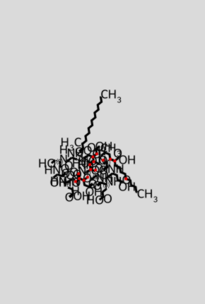 CCCCCCCCCCCCCC(C)C(=O)OCC(CSCC(N)C(=O)N[C@@H](CO)C(=O)NC(CO)C(=O)N[C@@H](CCC(=O)O)C(=O)NC(CCC(=O)O)C(=O)N[C@@H](CCC(=O)O)C(=O)NC(CCC(=O)O)C(=O)N[C@@H](CCC(=O)O)C(=O)NC(CCC(=O)O)C(=O)N[C@@H](CCC(=O)O)C(=O)N[C@H](C=O)CCC(=O)O)OC(=O)C(C)CCCCCCCCCCCCC